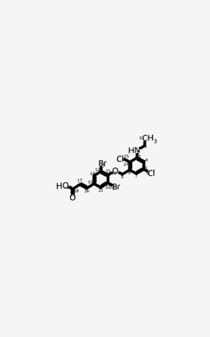 CCNc1cc(Cl)cc(COc2c(Br)cc(C=CC(=O)O)cc2Br)c1Cl